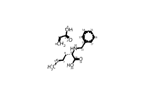 C=CC(=O)O.CSCC[C@H](NCc1ccccc1)C(=O)O